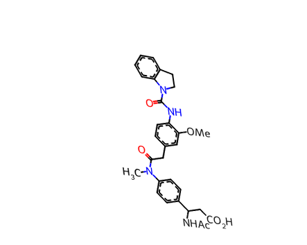 COc1cc(CC(=O)N(C)c2ccc(C(CC(=O)O)NC(C)=O)cc2)ccc1NC(=O)N1CCc2ccccc21